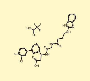 O=C(O)C(F)(F)F.O=C(O)CC(NC(=O)CNC(=O)CCCNc1nc2ccccc2[nH]1)c1cccc(-c2ccc(F)c(Cl)c2)c1